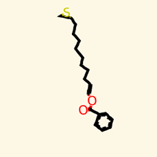 O=C(OC=CCCCCCCCCC1CS1)c1ccccc1